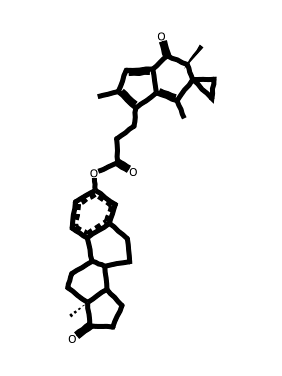 CC1=C(CCC(=O)Oc2ccc3c(c2)CCC2C3CC[C@]3(C)C(=O)CCC23)C2=C(C)C3(CC3)[C@H](C)C(=O)C2=C1